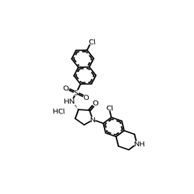 Cl.O=C1[C@@H](NS(=O)(=O)c2ccc3cc(Cl)ccc3c2)CCN1c1cc2c(cc1Cl)CNCC2